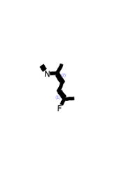 C=N/C(C)=C\C=C(/C)F